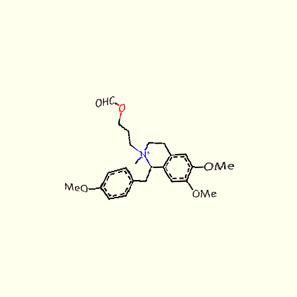 COc1ccc(CC2c3cc(OC)c(OC)cc3CC[N+]2(C)CCCOC=O)cc1